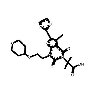 Cc1c(-c2ncco2)sc2c1c(=O)n(C(C)(C)C(=O)O)c(=O)n2CCOC1CCOCC1